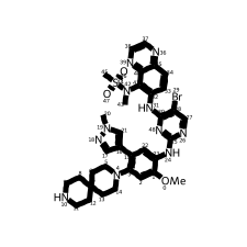 COc1cc(N2CCC3(CCNCC3)CC2)c(-c2cnn(C)c2)cc1Nc1ncc(Br)c(Nc2ccc3nccnc3c2N(C)S(C)(=O)=O)n1